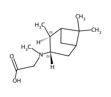 C[C@H]1C2CC(C[C@@H]1N(C)CC(=O)O)C2(C)C